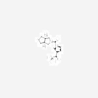 CNC(=O)c1ccn(C(=O)N2C[C@H]3CCC[C@H]3C2)n1